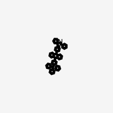 c1ccc(-c2nc3ccccc3n2-c2ccc(-c3c4ccccc4c(-c4ccc([Si](c5ccccc5)(c5ccccc5)c5ccccc5)cc4)c4ccccc34)cc2)cc1